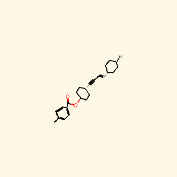 CC[C@H]1CC[C@H](C=CC#C[C@H]2CC[C@H](OC(=O)c3ccc(C)cc3)CC2)CC1